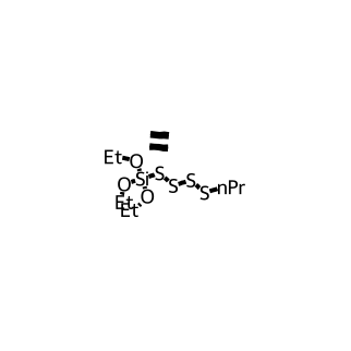 C=C.C=C.CCCSSSS[Si](OCC)(OCC)OCC